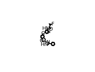 O=C(Nc1cc(Oc2ccc3c(c2)CC(c2nc(-c4ccccc4)c[nH]2)CO3)ccn1)C1CC1F